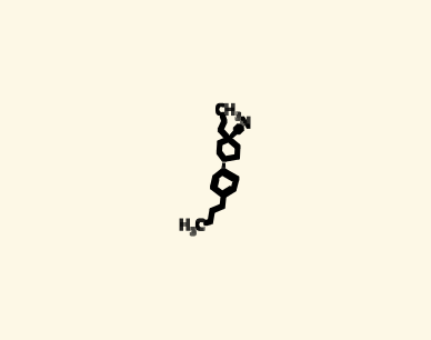 CCCCc1ccc([C@H]2CC[C@@](C#N)(CCC)CC2)cc1